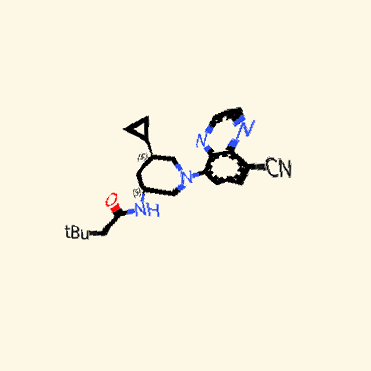 CC(C)(C)CC(=O)N[C@H]1C[C@@H](C2CC2)CN(c2ccc(C#N)c3nccnc23)C1